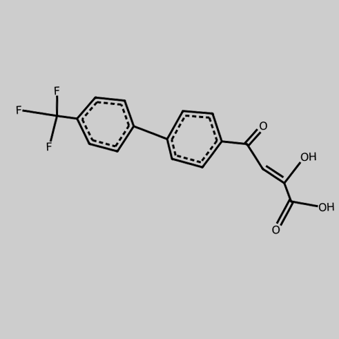 O=C(O)/C(O)=C/C(=O)c1ccc(-c2ccc(C(F)(F)F)cc2)cc1